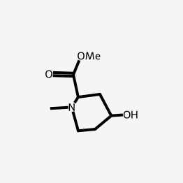 COC(=O)C1CC(O)CCN1C